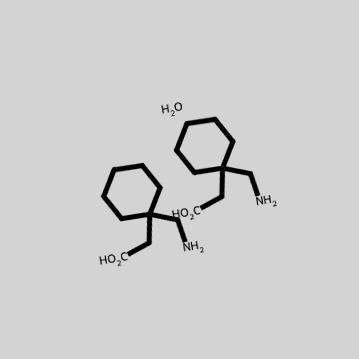 NCC1(CC(=O)O)CCCCC1.NCC1(CC(=O)O)CCCCC1.O